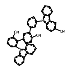 N#Cc1ccc2c(c1)c1ccccc1n2-c1cccc(-c2cc(-c3c(C#N)cccc3-n3c4ccccc4c4ccccc43)ccc2C#N)c1